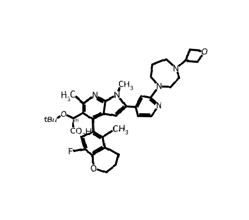 Cc1nc2c(cc(-c3ccnc(N4CCCN(C5COC5)CC4)c3)n2C)c(-c2cc(F)c3c(c2C)CCCO3)c1[C@H](OC(C)(C)C)C(=O)O